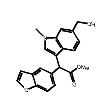 COC(=O)C(c1ccc2occc2c1)c1cn(C)c2cc(CO)ccc12